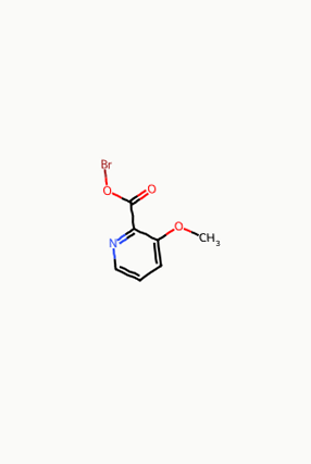 COc1cccnc1C(=O)OBr